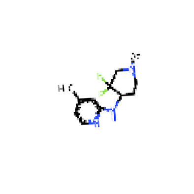 CC(=O)N1CCC(Nc2cc(C)ccn2)C(F)(F)C1